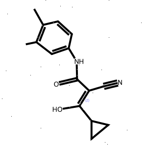 Cc1ccc(NC(=O)/C(C#N)=C(\O)C2CC2)cc1C